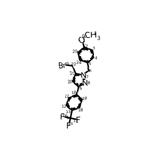 COc1ccc(Cn2nc(-c3ccc(C(F)(F)F)cc3)cc2CBr)cc1